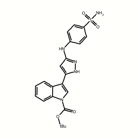 CC(C)(C)OC(=O)n1cc(-c2cc(Nc3ccc(S(N)(=O)=O)cc3)n[nH]2)c2ccccc21